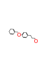 O=CCCc1ccc(OCC2=CCCC=C2)cc1